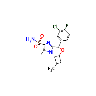 Cc1[nH]c(C(OC2CC(C(F)(F)F)C2)c2ccc(F)c(Cl)c2)nc1S(N)(=O)=O